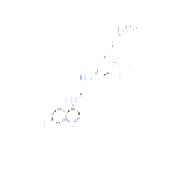 C=N/C(C)=C\C(=N/CCCCCNC)NCCCNc1ccnc2cc(Cl)ccc12